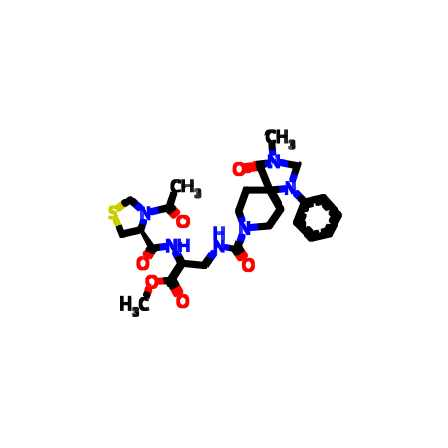 COC(=O)C(CNC(=O)N1CCC2(CC1)C(=O)N(C)CN2c1ccccc1)NC(=O)[C@H]1CSCN1C(C)=O